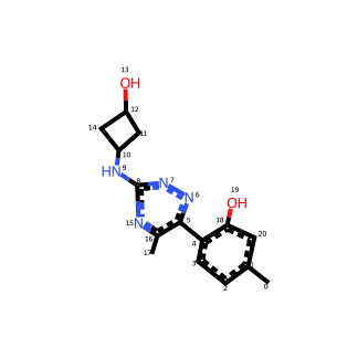 Cc1ccc(-c2nnc(NC3CC(O)C3)nc2C)c(O)c1